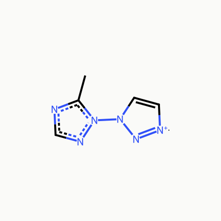 Cc1ncnn1N1C=C[N+]=N1